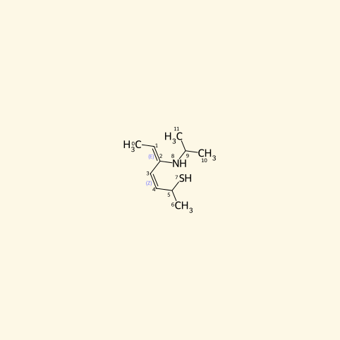 C/C=C(\C=C/C(C)S)NC(C)C